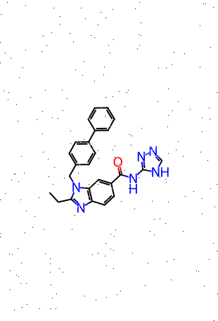 CCc1nc2ccc(C(=O)Nc3nnc[nH]3)cc2n1Cc1ccc(-c2ccccc2)cc1